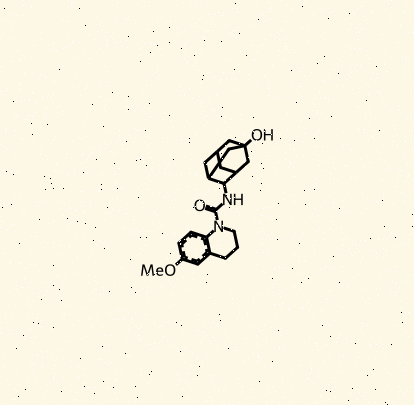 COc1ccc2c(c1)CCCN2C(=O)NC1C2CC3CC1CC(O)(C3)C2